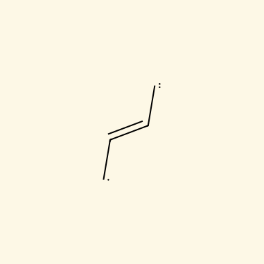 [CH]/C=C/[CH2]